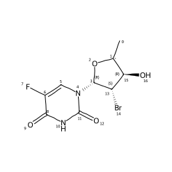 C[C]1O[C@@H](n2cc(F)c(=O)[nH]c2=O)[C@@H](Br)[C@@H]1O